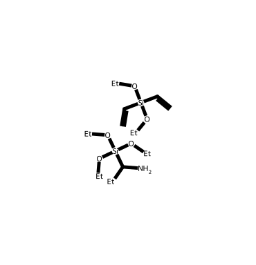 C=C[Si](C=C)(OCC)OCC.CCO[Si](OCC)(OCC)C(N)CC